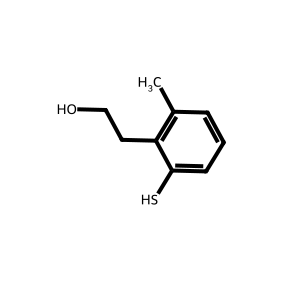 Cc1cccc(S)c1CCO